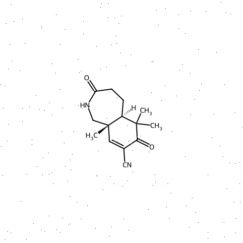 CC1(C)C(=O)C(C#N)=C[C@]2(C)CNC(=O)CC[C@@H]12